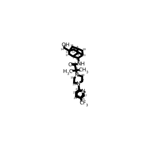 CC(C)(C(=O)NC1C2CC3CC1CC(CO)(C3)C2)N1CCN(c2ccc(C(F)(F)F)cn2)CC1